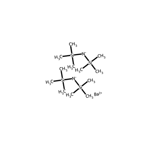 C[Si](C)(C)[N-][Si](C)(C)C.C[Si](C)(C)[N-][Si](C)(C)C.[Ba+2]